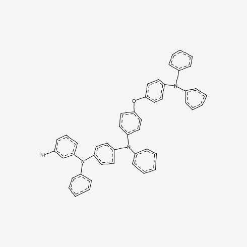 [3H]c1cccc(N(c2ccccc2)c2ccc(N(c3ccccc3)c3ccc(Oc4ccc(N(c5ccccc5)c5ccccc5)cc4)cc3)cc2)c1